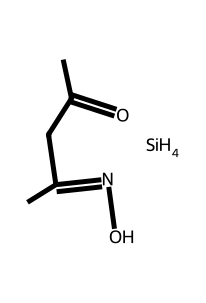 CC(=O)CC(C)=NO.[SiH4]